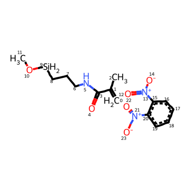 C=C(C)C(=O)NCCC[SiH2]OC.O=[N+]([O-])c1ccccc1[N+](=O)[O-]